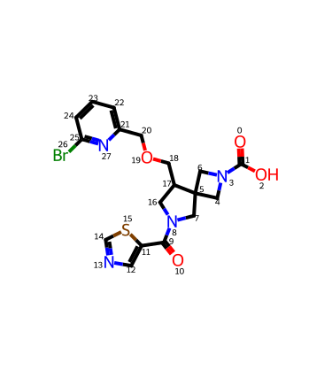 O=C(O)N1CC2(C1)CN(C(=O)c1cncs1)CC2COCc1cccc(Br)n1